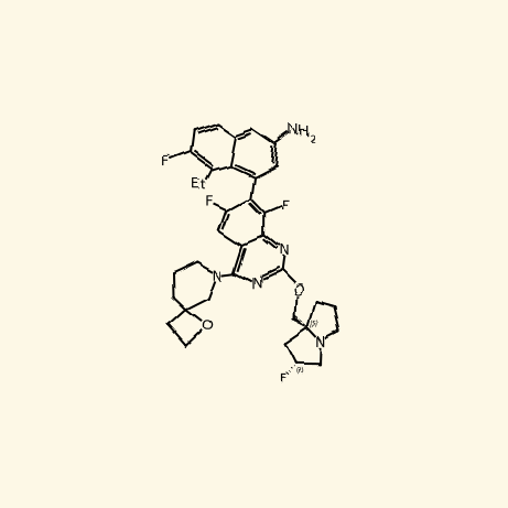 CCc1c(F)ccc2cc(N)cc(-c3c(F)cc4c(N5CCCC6(CCO6)C5)nc(OC[C@@]56CCCN5C[C@H](F)C6)nc4c3F)c12